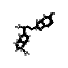 CCc1ccc2nn(CCC(C)c3ccc4c(nnn4C)n3)nc2n1